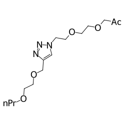 CCCOCCOCc1cn(CCOCCOCC(C)=O)nn1